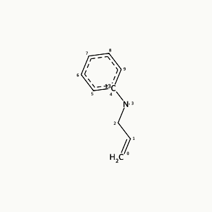 C=CC[N][13c]1ccccc1